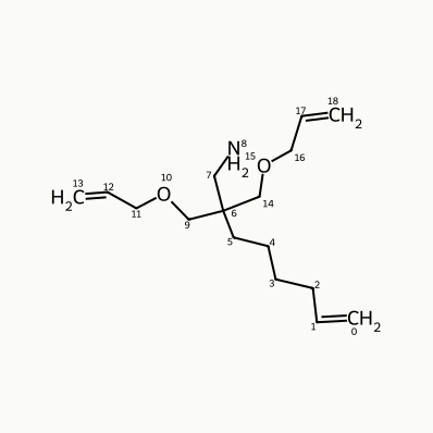 C=CCCCCC(CN)(COCC=C)COCC=C